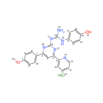 COc1ccc(-c2cc(-c3ccccn3)nc(N=C(N)Nc3ccc(O)cc3)n2)cc1.Cl